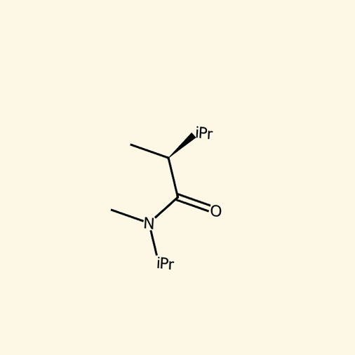 CC(C)[C@H](C)C(=O)N(C)C(C)C